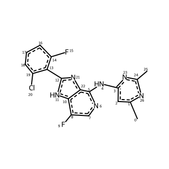 Cc1cc(Nc2ncc(F)c3[nH]c(-c4c(F)cccc4Cl)nc23)nc(C)n1